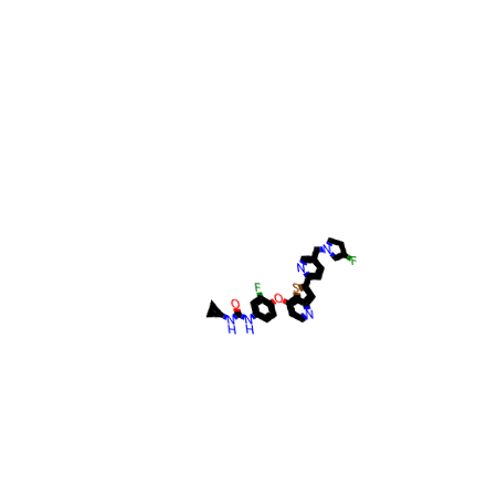 O=C(Nc1ccc(Oc2ccnc3cc(-c4ccc(CN5CCC(F)C5)cn4)sc23)c(F)c1)NC1CC1